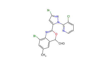 Cc1cc(Br)c2c(c1)C(C=O)OC(c1cc(Br)nn1-c1ncccc1Cl)=N2